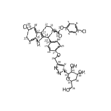 O=C(Oc1ccc(Cl)cc1)N1CCc2c([nH]c3c2=CC(Cl)CC=3)[C@@H]1c1ccc(OCc2cn(C3OC(CO)CC(O)C3O)nn2)cc1